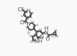 C[C@@H]1CN(C(=O)c2ccnc(Cl)c2)CC=C1c1cc(NC(=O)C2CC2)nc2[nH]ccc12